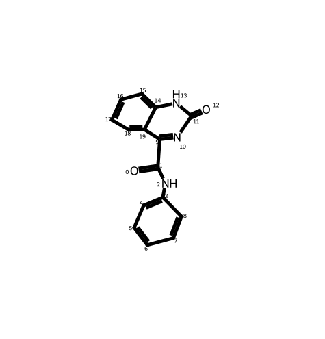 O=C(Nc1ccccc1)c1nc(=O)[nH]c2ccccc12